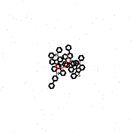 c1ccc(-c2ccc(N(c3ccccc3-c3ccccc3)c3cccc4c3-c3ccccc3C43c4c(cccc4N(c4ccccc4)c4ccc(-c5ccc6c7c(sc6c5)-c5c(N(c6ccc(-c8ccccc8)cc6)c6ccccc6-c6ccccc6)cccc5C75c6ccccc6-c6c(N(c7ccccc7)c7ccccc7)cccc65)cc4)-c4sc5ccccc5c43)cc2)cc1